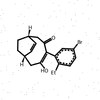 CCc1ccc(Br)cc1/C1=C(\O)C[C@H]2C=C[C@H](CC2)CC1=O